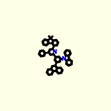 CC1(C)c2ccccc2-c2c(-c3cc(-c4ccccc4)cc(-c4cc(-c5cc6ccccc6c6ccccc56)cc(-n5c6ccccc6c6ccccc65)c4)n3)cccc21